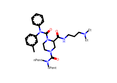 CCCCCN(CCCCC)C(=O)N1CCN(C(=O)N(c2ccccc2)c2cccc(C)c2)C(C(=O)NCCCN(CC)CC)C1